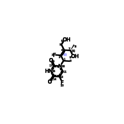 CC(/C(F)=C(/CO)[C@H](C)O)n1cc(F)c(=O)[nH]c1=O